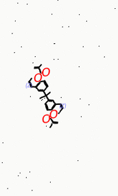 C=C(C)C(=O)Oc1ccc(C(C)(C)c2ccc(OC(=O)C(=C)C)c(/C=C\C)c2)cc1/C=C\C